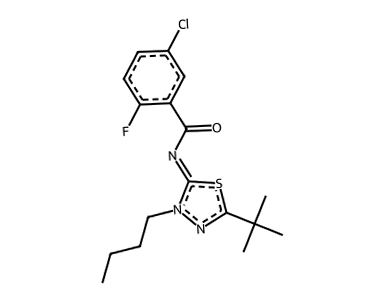 CCCCn1nc(C(C)(C)C)sc1=NC(=O)c1cc(Cl)ccc1F